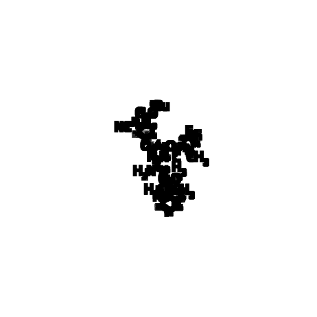 C[C@H](Oc1cc(O[C@H]2CCN(C(=O)OC(C)(C)C)[C@H](CC#N)C2)nc(C(N)=NOC(=O)C(C)(C)c2c(F)cccc2F)n1)[C@@H]1CC(F)(F)CN1C